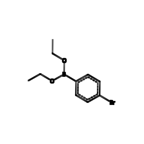 CCOB(OCC)c1ccc(Br)cc1